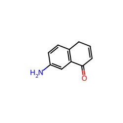 Nc1ccc2c(c1)C(=O)C=CC2